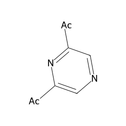 CC(=O)c1cncc(C(C)=O)n1